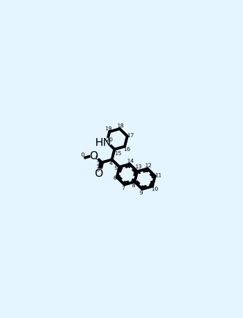 COC(=O)C(c1ccc2ccccc2c1)C1CCCCN1